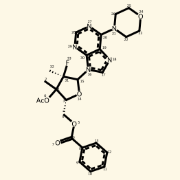 CC(=O)OC1(C)[C@@H](COC(=O)c2ccccc2)OC(n2cnc3c(N4CCOCC4)ncnc32)[C@]1(C)F